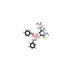 CON/C(C)=C/C(OP(=O)(OCc1ccccc1)OCc1ccccc1)=C(\C)S